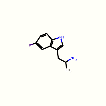 CC(N)Cc1c[nH]c2ccc(I)cc12